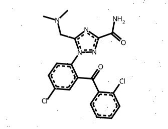 CN(C)Cc1nc(C(N)=O)nn1-c1ccc(Cl)cc1C(=O)c1ccccc1Cl